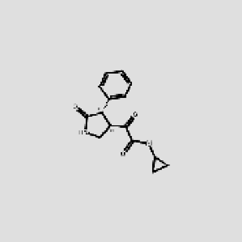 O=C(NC1CC1)C(=O)[C@H]1CNC(=O)[C@@H]1c1ccccc1